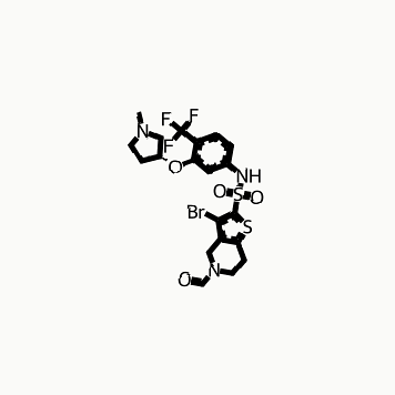 CN1CC[C@@H](Oc2cc(NS(=O)(=O)c3sc4c(c3Br)CN(C=O)CC4)ccc2C(F)(F)F)C1